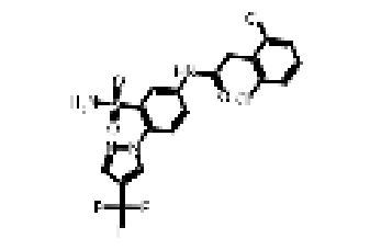 NS(=O)(=O)c1cc(NC(=O)Cc2c(Cl)cccc2Cl)ccc1-n1cc(C(F)(F)F)cn1